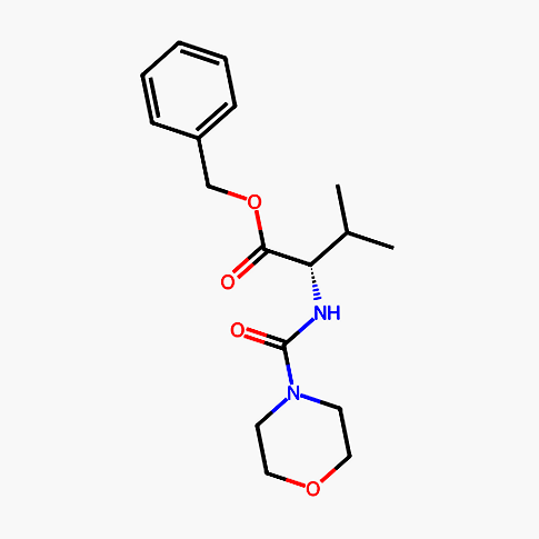 CC(C)[C@H](NC(=O)N1CCOCC1)C(=O)OCc1ccccc1